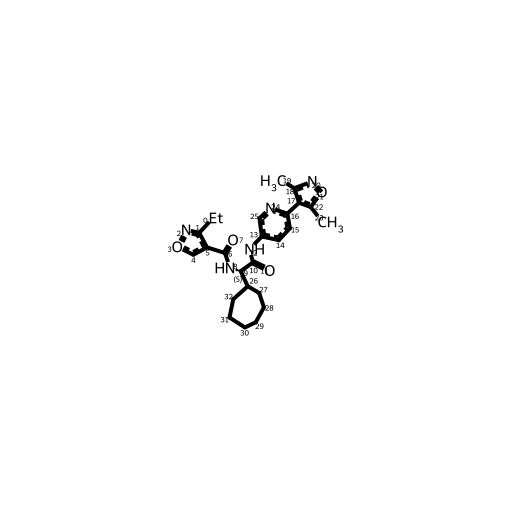 CCc1nocc1C(=O)N[C@H](C(=O)Nc1ccc(-c2c(C)noc2C)nc1)C1CCCCCC1